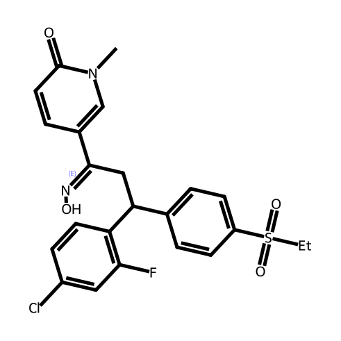 CCS(=O)(=O)c1ccc(C(C/C(=N\O)c2ccc(=O)n(C)c2)c2ccc(Cl)cc2F)cc1